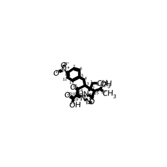 CCC1(C(Cc2ccc([N+](=O)[O-])cc2)C(=O)C(=[N+]=[N-])C(=O)O)NC(=O)C1C(C)O